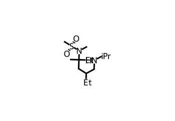 CCC(CNC(C)C)CC(C)(CC)N(C)S(C)(=O)=O